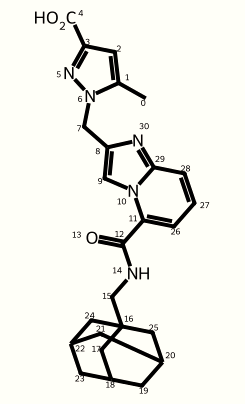 Cc1cc(C(=O)O)nn1Cc1cn2c(C(=O)NCC34CC5CC(CC(C5)C3)C4)cccc2n1